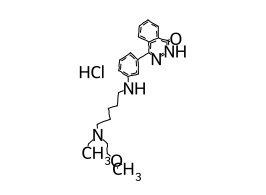 CCN(CCCCCNc1cccc(-c2n[nH]c(=O)c3ccccc23)c1)CCOC.Cl